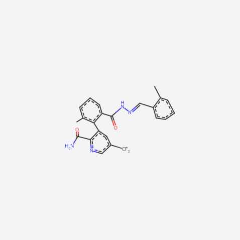 Cc1ccccc1C=NNC(=O)c1cccc(C)c1-c1cc(C(F)(F)F)cnc1C(N)=O